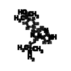 CC(C)(N)CCc1nc(-c2ccc(C(C)(C)O)cc2)c2cnc3[nH]ccc3n12